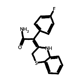 NC(=O)C(=C1CSc2ccccc2N1)c1ccc(F)cc1